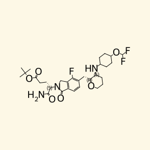 CC(C)(C)OC(=O)CC[C@@H](C(N)=O)N1Cc2c(ccc(C[C@H]3OCCC[C@@H]3NC3CCC(OC(F)F)CC3)c2F)C1=O